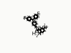 CN(C)c1ccc(N)c(C(=O)NCC2CCN(C(c3ccc(F)cc3)c3ccc(F)cc3)CC2)c1